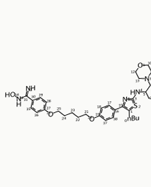 CCCCc1sc(NC(C)CN2CCOCC2)nc1-c1ccc(OCCCCCOc2ccc(C(=N)NO)cc2)cc1